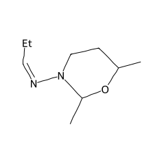 CC/C=N\N1CCC(C)OC1C